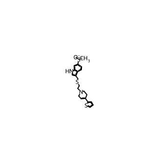 C[S+]([O-])c1ccc2c(CSCCN3CC=C(c4cccs4)CC3)c[nH]c2c1